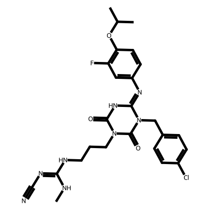 CN/C(=N\C#N)NCCCn1c(=O)[nH]/c(=N\c2ccc(OC(C)C)c(F)c2)n(Cc2ccc(Cl)cc2)c1=O